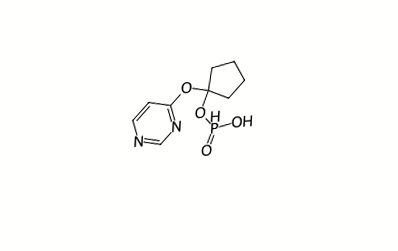 O=[PH](O)OC1(Oc2ccncn2)CCCC1